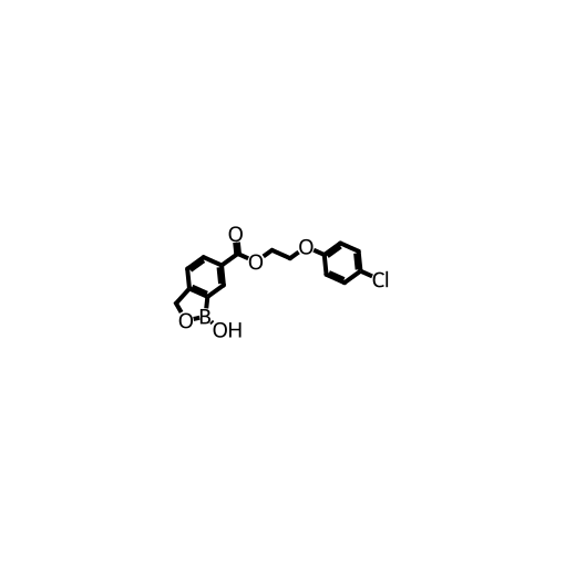 O=C(OCCOc1ccc(Cl)cc1)c1ccc2c(c1)B(O)OC2